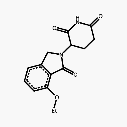 CCOc1cccc2c1C(=O)N(C1CCC(=O)NC1=O)C2